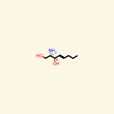 CCCC=C[C@@H](O)[C@@H](N)CO